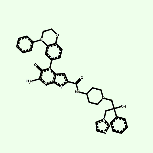 Nc1nc2sc(C(=O)NC3CCN(CC(O)(Cn4ccnc4)c4ccccc4)CC3)cc2n(-c2ccc3c(c2)N(c2ccccc2)CCO3)c1=O